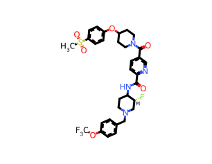 CS(=O)(=O)c1ccc(OC2CCN(C(=O)c3ccc(C(=O)NC4CCN(Cc5ccc(OC(F)(F)F)cc5)C[C@H]4F)nc3)CC2)cc1